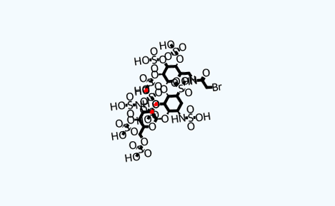 O=C(CBr)NCC1O[C@H](O[C@H]2C(OS(=O)(=O)O)[C@H](O[C@H]3OC(COS(=O)(=O)O)[C@@H](OS(=O)(=O)O)[C@@H](NS(=O)(=O)O)C3OS(=O)(=O)O)[C@H](NS(=O)(=O)O)CC2S(=O)(=O)O)[C@@H](OS(=O)(=O)O)C(OS(=O)(=O)O)[C@@H]1OS(=O)(=O)O